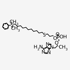 C[C@H](Cn1cnc2c(N)ncnc21)OCP(=O)(O)OCCCSCCCCCCCCCCCS(C)(C)c1ccccc1